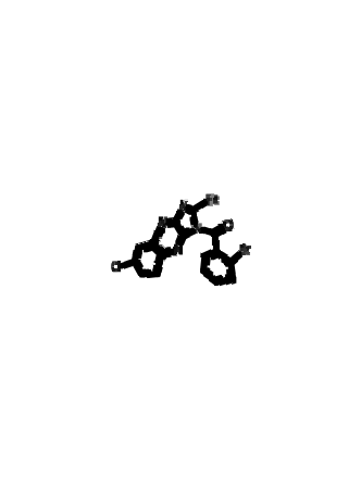 CCc1nc2nc3cc(Cl)ccc3nc2n1C(=O)c1ccccc1Br